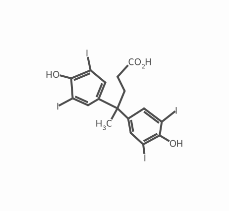 CC(CCC(=O)O)(c1cc(I)c(O)c(I)c1)c1cc(I)c(O)c(I)c1